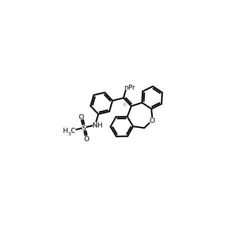 CCC/C(=C1/c2ccccc2COc2ccccc21)c1cccc(NS(C)(=O)=O)c1